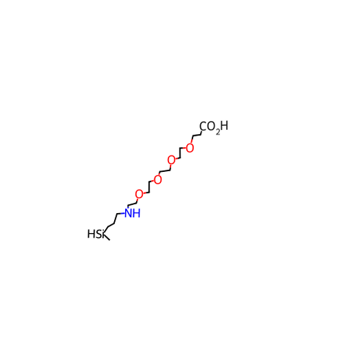 C[SiH](C)CCCNCCOCCOCCOCCOCCC(=O)O